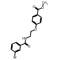 COC(=O)c1ccc(OCCNC(=O)c2cccc(Br)c2)cc1